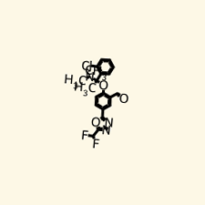 CN(C)C(C)(Oc1ccc(-c2nnc(C(F)F)o2)cc1C=O)c1ccccc1Cl